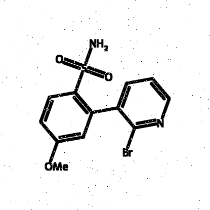 COc1ccc(S(N)(=O)=O)c(-c2cccnc2Br)c1